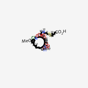 COc1cc2cc(c1Cl)N(C)C(=O)C[C@H](OC(=O)[C@H](C)N(C)C(=O)CCSSC(C)(C)CCC(=O)O)[C@@]1(C)O[C@H]1[C@H](C)[C@@H]1C[C@@](O)(NC(=O)O1)[C@H](OC)/C=C/C=C(\C)C2